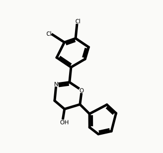 OC1CN=C(c2ccc(Cl)c(Cl)c2)OC1c1ccccc1